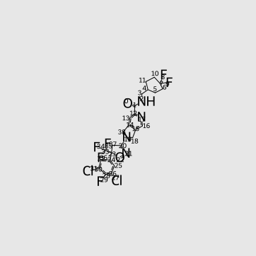 O=C(NCC1CCC(F)(F)CC1)c1cc2c(cn1)CN(C1=NOC(c3cc(Cl)c(F)c(Cl)c3)(C(F)(F)F)C1)C2